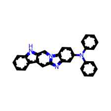 c1ccc(N(c2ccccc2)c2ccc3c(c2)nc2cc4c(cn23)[nH]c2ccccc24)cc1